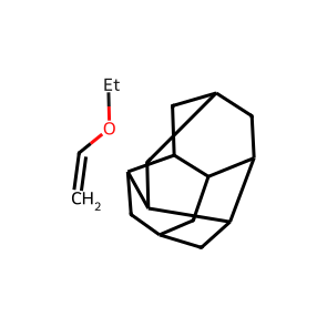 C1C2CC3C4CC5CC(C14)C(C2)C3C5.C=COCC